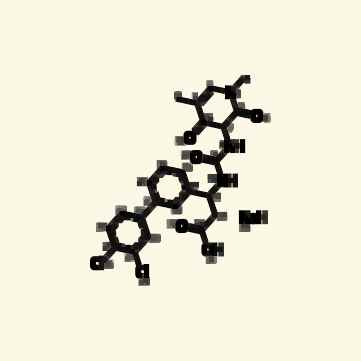 CC1=CN(C)C(=O)C(NC(=O)NC(CC(=O)O)c2cccc(-c3ccc(Cl)c(Cl)c3)c2)C1=O.[NaH]